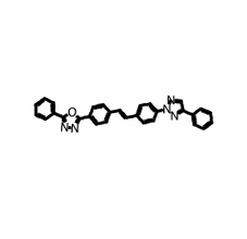 C(=Cc1ccc(-n2ncc(-c3ccccc3)n2)cc1)c1ccc(-c2nnc(-c3ccccc3)o2)cc1